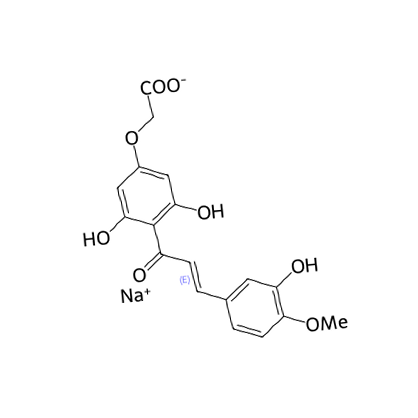 COc1ccc(/C=C/C(=O)c2c(O)cc(OCC(=O)[O-])cc2O)cc1O.[Na+]